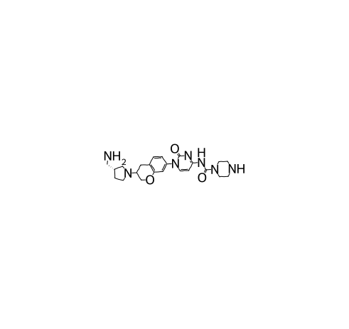 NC[C@H]1CCN(C2COc3cc(-n4ccc(NC(=O)N5CCNCC5)nc4=O)ccc3C2)C1